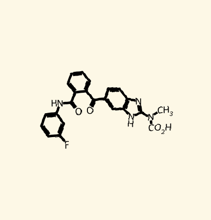 CN(C(=O)O)c1nc2ccc(C(=O)c3ccccc3C(=O)Nc3cccc(F)c3)cc2[nH]1